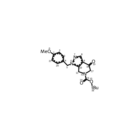 COc1ccc(Cn2ncc3c2CN(C(=O)OC(C)(C)C)CC3=O)cc1